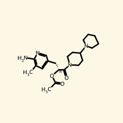 CC(=O)O[C@H](Cc1cnc(N)c(C)c1)C(=O)N1CCC(N2CCCCC2)CC1